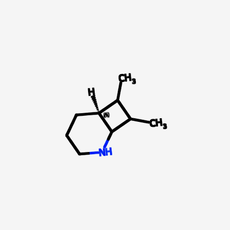 CC1C(C)[C@@H]2CCCNC12